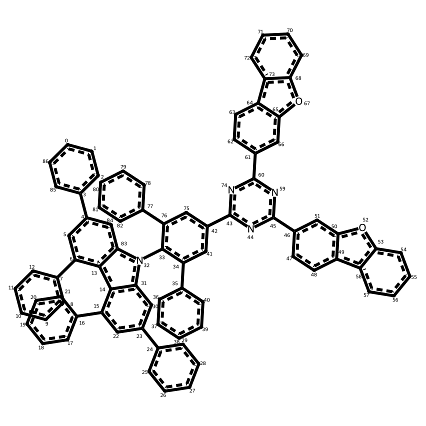 c1ccc(-c2cc(-c3ccccc3)c3c4c(-c5ccccc5)cc(-c5ccccc5)cc4n(-c4c(-c5ccccc5)cc(-c5nc(-c6ccc7c(c6)oc6ccccc67)nc(-c6ccc7c(c6)oc6ccccc67)n5)cc4-c4ccccc4)c3c2)cc1